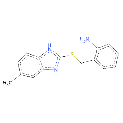 Cc1ccc2[nH]c(SCc3ccccc3N)nc2c1